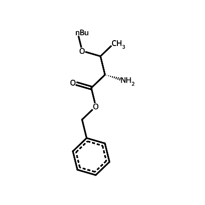 CCCCOC(C)[C@H](N)C(=O)OCc1ccccc1